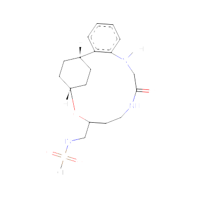 CN1CC(=O)NCCC(CNS(C)(=O)=O)O[C@H]2CC[C@H](CC2)c2ccccc21